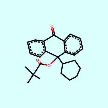 CC(C)(C)C(=O)OC1(C2CCCCC2)c2ccccc2C(=O)c2ccccc21